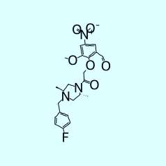 COc1cc([N+](=O)[O-])cc(C=O)c1OCC(=O)N1C[C@H](C)N(Cc2ccc(F)cc2)C[C@H]1C